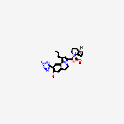 CCCc1cc(C(=O)N2CCC[C@H]3CC[C@]32C(=O)OC)n2c1-c1cc(-c3nnn(C)n3)c(OC)cc1CC2